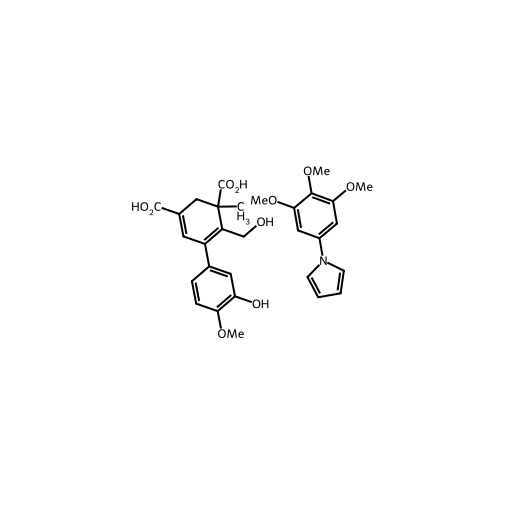 COc1cc(-n2cccc2)cc(OC)c1OC.COc1ccc(C2=C(CO)C(C)(C(=O)O)CC(C(=O)O)=C2)cc1O